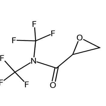 O=C(C1CO1)N(C(F)(F)F)C(F)(F)F